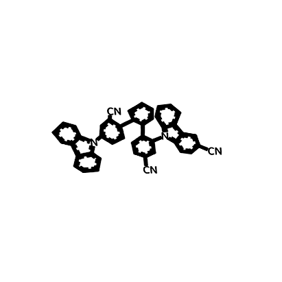 N#Cc1ccc(-c2ccccc2-c2ccc(-n3c4ccccc4c4ccccc43)cc2C#N)c(-n2c3ccccc3c3cc(C#N)ccc32)c1